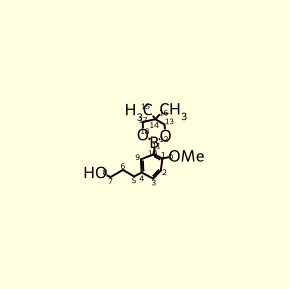 COc1ccc(CCCO)cc1B1OCC(C)(C)CO1